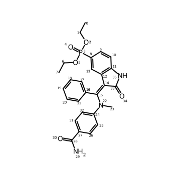 CCOP(=O)(OCC)c1ccc2c(c1)/C(=C(\c1ccccc1)N(C)c1ccc(C(N)=O)cc1)C(=O)N2